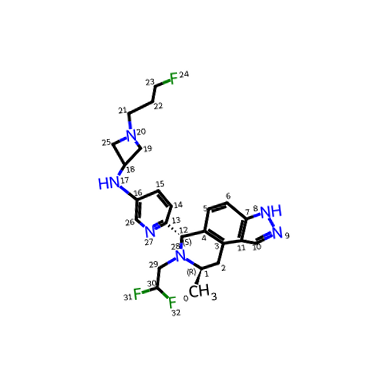 C[C@@H]1Cc2c(ccc3[nH]ncc23)[C@@H](c2ccc(NC3CN(CCCF)C3)cn2)N1CC(F)F